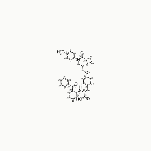 Cc1ccc(N(CCCOc2ccc(C[C@H](Nc3ccccc3C(=O)c3ccccc3)C(=O)O)cc2)C(=O)C2CCC2)cc1